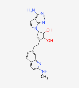 CNc1ccc2ccc(CCC3=CC(n4ccc5c(N)ncnc54)C(O)C3O)cc2n1